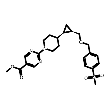 COC(=O)c1cnc(N2CCC([C@H]3C[C@H]3COCc3ccc(S(C)(=O)=O)cc3)CC2)nc1